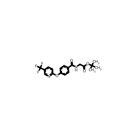 CC(C)(C)OC(=O)CNC(=O)c1ccc(Oc2ccc(C(F)(F)F)cn2)cc1